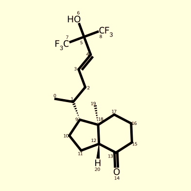 CC(CC=CC(O)(C(F)(F)F)C(F)(F)F)[C@H]1CC[C@H]2C(=O)CCC[C@]12C